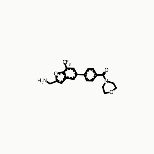 NCc1cc2cc(-c3ccc(C(=O)N4CCOCC4)cc3)cc(C(F)(F)F)c2o1